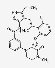 C=Cc1[nH]nc(NC(=O)c2cccc(N3CCN(C)C(=O)C3)c2)c1/C=C(\C)c1c(F)cccc1OC